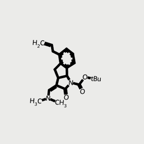 C=CCc1cccc2c1CC1/C(=C/N(C)C)C(=O)N(C(=O)OC(C)(C)C)C21